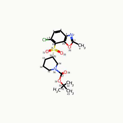 Cc1nc2ccc(Cl)c(S(=O)(=O)[C@H]3CCCN(C(=O)OC(C)(C)C)C3)c2o1